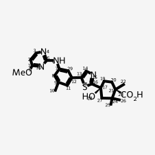 COc1ccnc(Nc2cc(C)cc(-c3cnc([C@]4(O)CC[C@@](C)(C(=O)O)C(C)(C)C4)s3)c2)n1